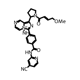 COCC=CC(=O)N1CCCC1C1=C2C=NC=C[N+]2(N)C(c2ccc(C(=O)Nc3cc(C#N)ccn3)cc2)=N1